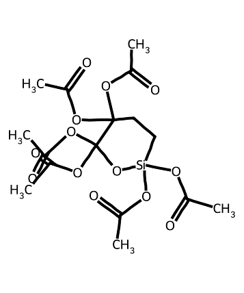 CC(=O)OC1(OC(C)=O)CC[Si](OC(C)=O)(OC(C)=O)OC1(OC(C)=O)OC(C)=O